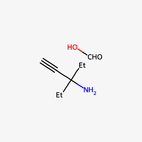 C#CC(N)(CC)CC.O=CO